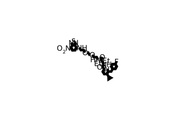 CCC(CC)(NC(=O)c1ccc(C2CC2)c(Cc2ccc(F)cc2)n1)C(=O)NCCOCCOCCNc1ccc([N+](=O)[O-])c2nsnc12